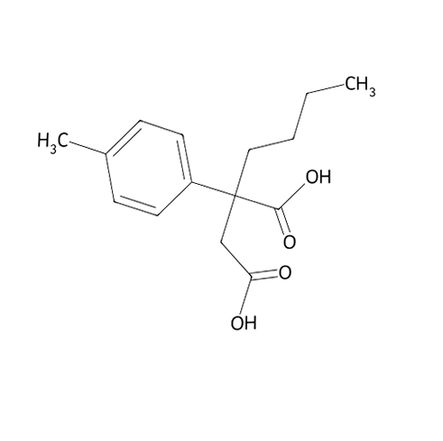 CCCCC(CC(=O)O)(C(=O)O)c1ccc(C)cc1